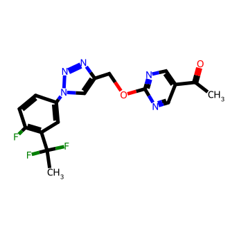 CC(=O)c1cnc(OCc2cn(-c3ccc(F)c(C(C)(F)F)c3)nn2)nc1